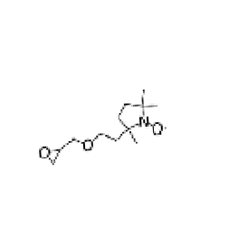 CC1(C)CCC(C)(CCOCC2CO2)N1[O]